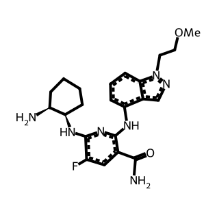 COCCn1ncc2c(Nc3nc(N[C@@H]4CCCC[C@@H]4N)c(F)cc3C(N)=O)cccc21